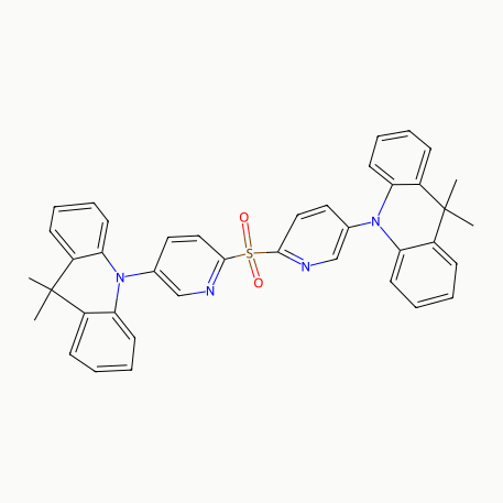 CC1(C)c2ccccc2N(c2ccc(S(=O)(=O)c3ccc(N4c5ccccc5C(C)(C)c5ccccc54)cn3)nc2)c2ccccc21